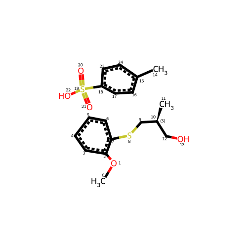 COc1ccccc1SC[C@@H](C)CO.Cc1ccc(S(=O)(=O)O)cc1